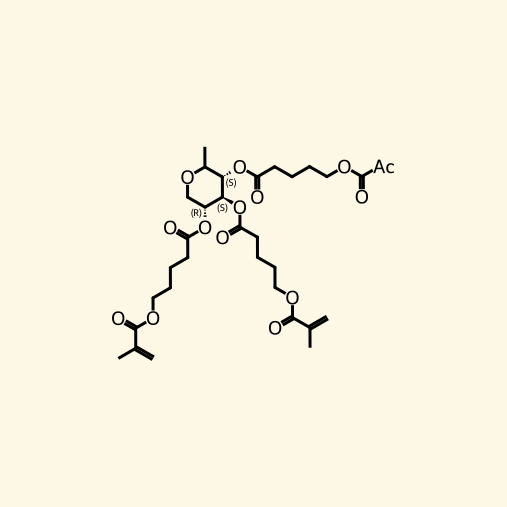 C=C(C)C(=O)OCCCCC(=O)O[C@H]1[C@H](OC(=O)CCCCOC(=O)C(=C)C)COC(C)[C@@H]1OC(=O)CCCCOC(=O)C(C)=O